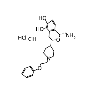 Cl.Cl.NC[C@@H]1O[C@H](C2CCN(CCOc3ccccc3)CC2)Cc2c1ccc(O)c2O